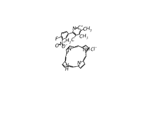 C1=Cc2cc3ccc(cc4nc(cc5ccc(cc1n2)[nH]5)C=C4)[nH]3.CC1=C(C)C(C)=C(c2ccc(F)c([N+](=O)[O-])c2)N=[C+]1.[Cl-]